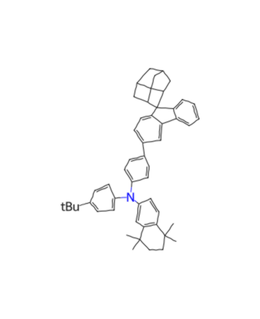 CC(C)(C)c1ccc(N(c2ccc(-c3ccc4c(c3)-c3ccccc3C43C4CC5CC6CC3C64C5)cc2)c2ccc3c(c2)C(C)(C)CCC3(C)C)cc1